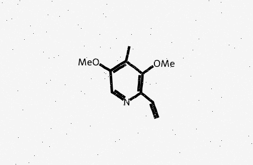 C=Cc1ncc(OC)c(C)c1OC